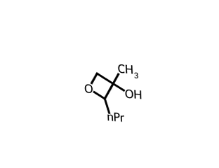 CCCC1OCC1(C)O